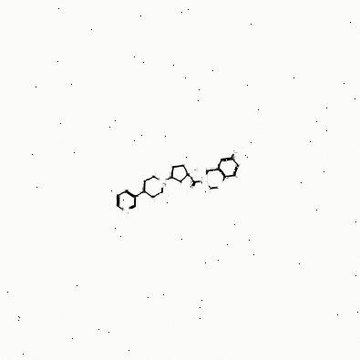 CC(C)[C@]1(C(=O)N2COc3ccc(C(F)(F)F)cc3C2)CCC(N2CCC(c3cccnc3)CC2)C1